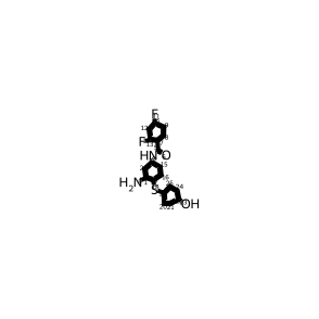 Nc1cc(NC(=O)c2ccc(F)cc2F)ccc1Sc1ccc(O)cc1